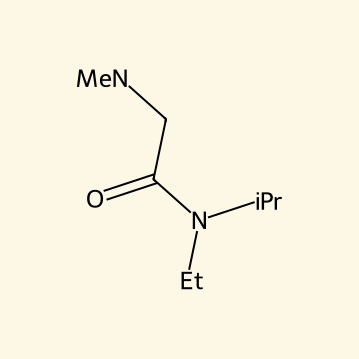 CCN(C(=O)CNC)C(C)C